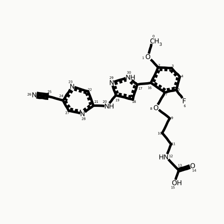 COc1ccc(F)c(OCCCNC(=O)O)c1-c1cc(Nc2cnc(C#N)cn2)n[nH]1